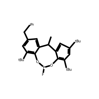 CC(C)Cc1cc2c(c(C(C)(C)C)c1)OP(F)Oc1c(cc(C(C)(C)C)cc1C(C)(C)C)C2C